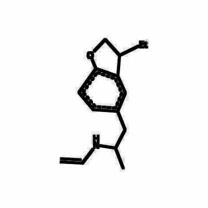 C=CNC(C)Cc1ccc2c(c1)C(CC)CO2